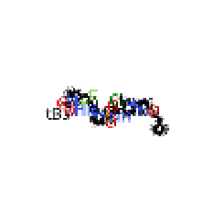 CC(C)(C)OC(=O)N1CC(CC(F)(F)CNc2cccc(S(=O)(=O)NC(=O)c3ccc(-n4ccc(OCCC5CCCC5)n4)nc3Cl)n2)CC1(C)C